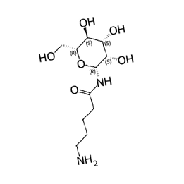 NCCCCC(=O)N[C@@H]1O[C@H](CO)[C@@H](O)[C@H](O)[C@@H]1O